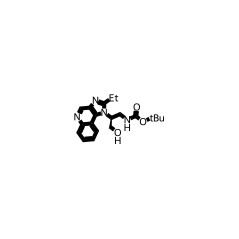 CCc1nc2cnc3ccccc3c2n1[C@H](CO)CNC(=O)OC(C)(C)C